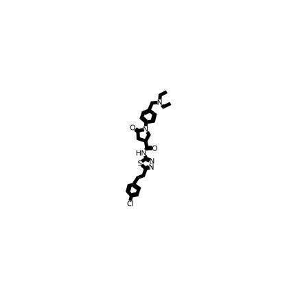 CCN(CC)Cc1ccc(N2CC(C(=O)Nc3nnc(CCc4ccc(Cl)cc4)s3)CC2=O)cc1